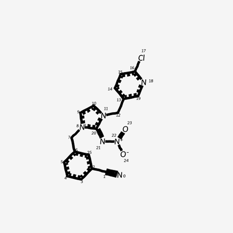 N#Cc1cccc(Cn2ccn(Cc3ccc(Cl)nc3)c2=N[N+](=O)[O-])c1